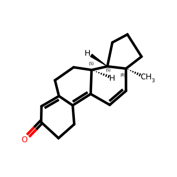 C[C@]12C=CC3=C4CCC(=O)C=C4CC[C@H]3[C@@H]1CCC2